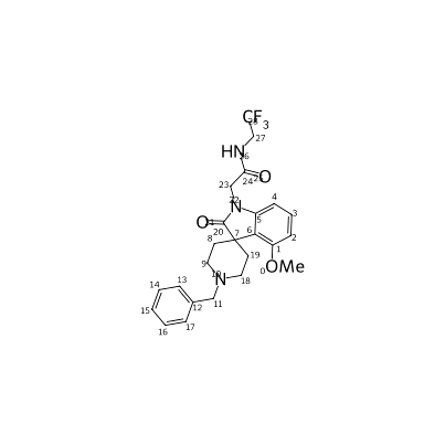 COc1cccc2c1C1(CCN(Cc3ccccc3)CC1)C(=O)N2CC(=O)NCC(F)(F)F